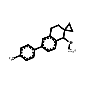 O=C(O)NC1c2ccc(-c3ccc(C(F)(F)F)cc3)cc2CCC12CC2